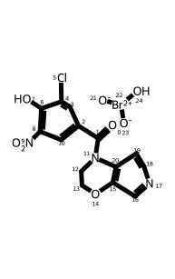 O=C(c1cc(Cl)c(O)c([N+](=O)[O-])c1)N1CCOc2cnccc21.[O-][Br+2]([O-])O